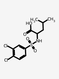 CC(C)CC(NS(=O)(=O)c1ccc(Cl)c(Cl)c1)C(=O)O